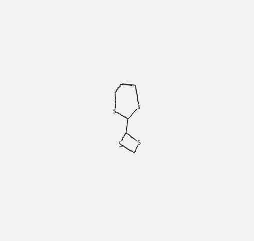 C1CSC(C2SCS2)SC1